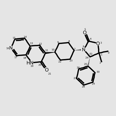 CC1(C)OC(=O)N([C@H]2CC[C@H](c3cc4ccncc4[nH]c3=O)CC2)[C@H]1c1ccccc1